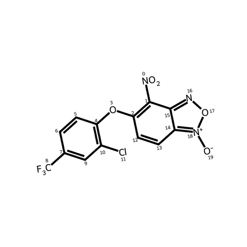 O=[N+]([O-])c1c(Oc2ccc(C(F)(F)F)cc2Cl)ccc2c1no[n+]2[O-]